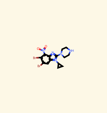 O=[N+]([O-])c1c(Br)c(Br)cc2c1nc(N1CCNCC1)n2C1CC1